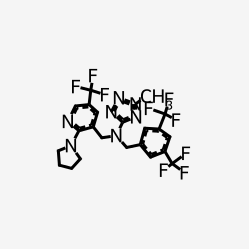 Cn1nnc(N(Cc2cc(C(F)(F)F)cc(C(F)(F)F)c2)Cc2cc(C(F)(F)F)cnc2N2CCCC2)n1